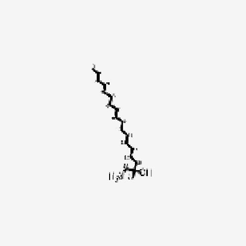 CCCCCCCCCCCCCCCCC(C)(O)CN